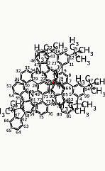 CC(C)(C)c1cc(-c2cc(-c3cc(C(C)(C)C)cc(C(C)(C)C)c3)nc(-c3cc(-c4ccccc4-n4c5ccccc5c5ccccc54)c(-n4c5ccccc5c5c6c(ccc54)-c4ccccc4C6(C)C)c(-c4ccccc4-n4c5ccccc5c5ccccc54)c3)n2)cc(C(C)(C)C)c1